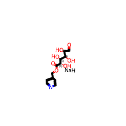 O=C[C@H](O)[C@@H](O)[C@H](O)[C@H](O)C(=O)OCc1ccncc1.[NaH]